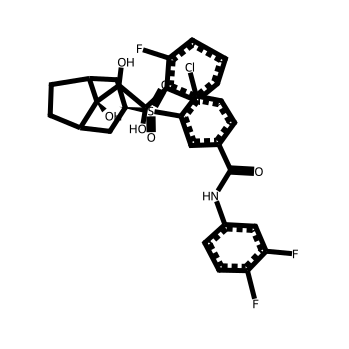 O=C(Nc1ccc(F)c(F)c1)c1ccc(Cl)c(S(=O)(=O)[C@H]2CC3CCC(C2)[C@]3(O)C(O)C(O)c2ncccc2F)c1